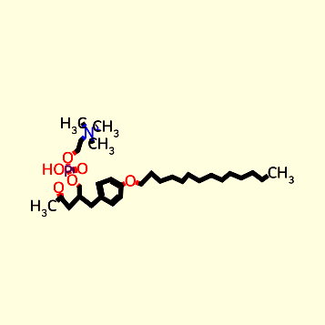 CCCCCCCCCCCCCCOc1ccc(CC(COP(=O)(O)OCC[N+](C)(C)C)CC(C)=O)cc1